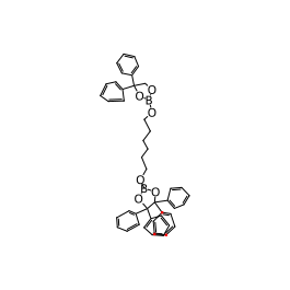 c1ccc(C2(c3ccccc3)COB(OCCCCCCOB3OC(c4ccccc4)(c4ccccc4)C(c4ccccc4)(c4ccccc4)O3)O2)cc1